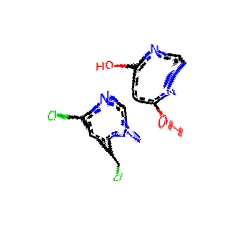 Clc1cc(Cl)ncn1.Oc1cc(O)ncn1